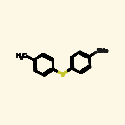 CSc1ccc(Sc2ccc(C)cc2)cc1